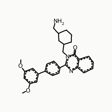 COc1cc(OC)cc(-c2ccc(-c3nc4ccccc4c(=O)n3CC3CCCC(CN)C3)cc2)c1